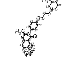 Cc1nc2ccc(S(F)(F)(F)(F)F)cc2c(=O)n1-c1ccc(OCCCN2CCCC(C)C2)cc1